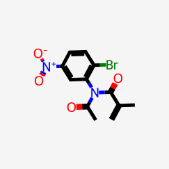 C=C(C)C(=O)N(C(C)=O)c1cc([N+](=O)[O-])ccc1Br